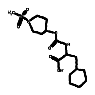 CS(=O)(=O)N1CCC(OC(=O)NC(CC2CCCCC2)C(=O)O)CC1